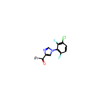 CC(C)C(=O)c1cn(-c2c(F)ccc(Cl)c2F)cn1